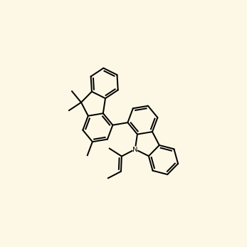 C/C=C(\C)n1c2ccccc2c2cccc(-c3cc(C)cc4c3-c3ccccc3C4(C)C)c21